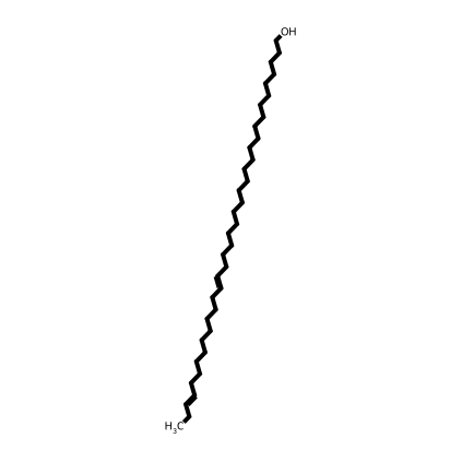 CC/C=C/CCCCCCCCC/C=C/CCCCCCCCCCCCCCCCCCCCCCO